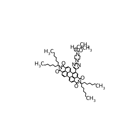 CCCCCCC(CCCCCC)N1C(=O)c2ccc3c4ccc5c6c(cc(-c7cnc(N8CCN(C(=O)OC(C)(C)C)CC8)nc7)c(c7ccc(c2c37)C1=O)c64)C(=O)N(C(CCCCCC)CCCCCC)C5=O